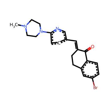 CN1CCN(c2ccc(/C=C3\CCc4cc(Br)ccc4C3=O)cn2)CC1